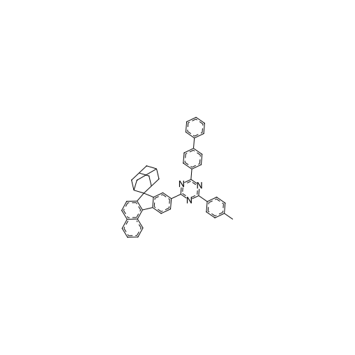 Cc1ccc(-c2nc(-c3ccc(-c4ccccc4)cc3)nc(-c3ccc4c(c3)C3(c5ccc6ccccc6c5-4)C4CC5CC(C4)CC3C5)n2)cc1